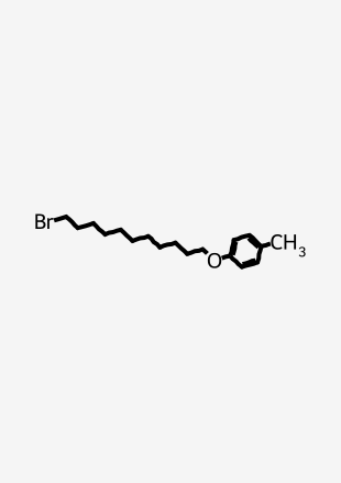 Cc1ccc(OCCCCCCCCCCCBr)cc1